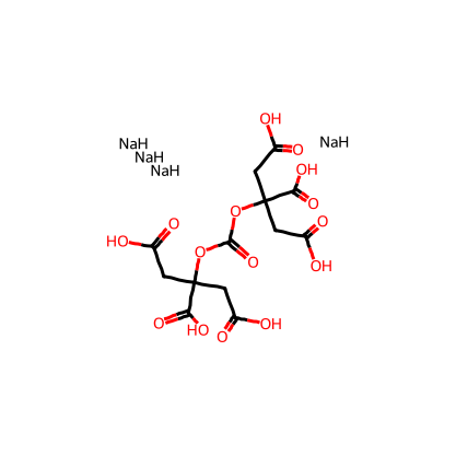 O=C(O)CC(CC(=O)O)(OC(=O)OC(CC(=O)O)(CC(=O)O)C(=O)O)C(=O)O.[NaH].[NaH].[NaH].[NaH]